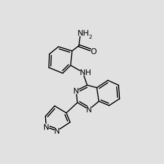 NC(=O)c1ccccc1Nc1nc(-c2ccnnc2)nc2ccccc12